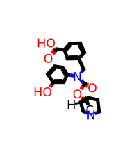 O=C(O)c1cccc(CN(C(=O)O[C@H]2CN3CCC2CC3)c2cccc(O)c2)c1